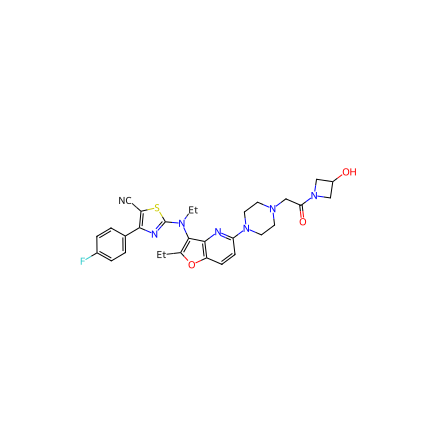 CCc1oc2ccc(N3CCN(CC(=O)N4CC(O)C4)CC3)nc2c1N(CC)c1nc(-c2ccc(F)cc2)c(C#N)s1